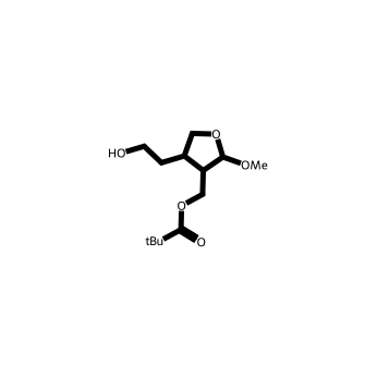 COC1OCC(CCO)C1COC(=O)C(C)(C)C